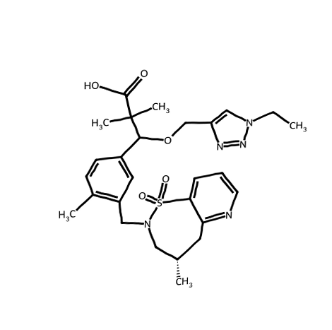 CCn1cc(COC(c2ccc(C)c(CN3C[C@@H](C)Cc4ncccc4S3(=O)=O)c2)C(C)(C)C(=O)O)nn1